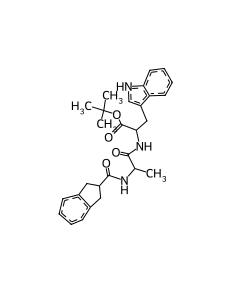 CC(NC(=O)C1Cc2ccccc2C1)C(=O)NC(Cc1c[nH]c2ccccc12)C(=O)OC(C)(C)C